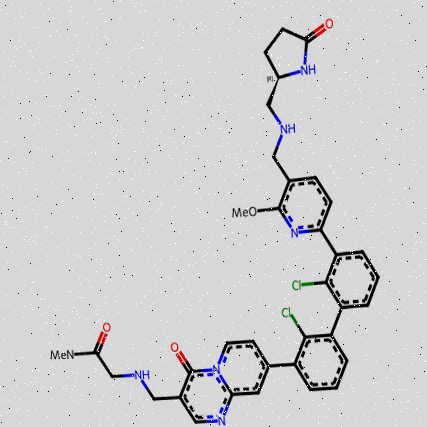 CNC(=O)CNCc1cnc2cc(-c3cccc(-c4cccc(-c5ccc(CNC[C@H]6CCC(=O)N6)c(OC)n5)c4Cl)c3Cl)ccn2c1=O